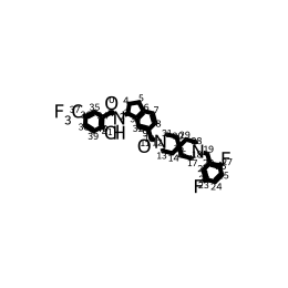 O=C(NC1CCc2ccc(C(=O)N3CCC4(CCN(Cc5cc(F)ccc5F)CC4)CC3)cc21)c1cc(C(F)(F)F)ccc1Cl